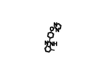 Cc1cccc2nc(-c3ccc(Oc4ncccn4)cc3)[nH]c12